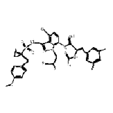 COc1ccc(CC2(S(=O)(=O)Nc3nn(CC(F)F)c4c(NC(=N)C(Cc5cc(F)cc(F)c5)NC(=O)O)ccc(Cl)c34)CC2)cc1